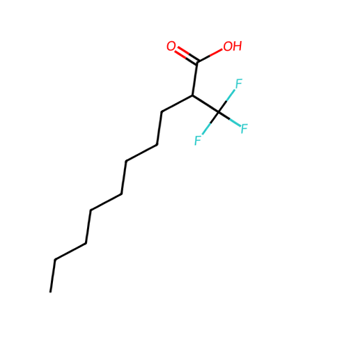 CCCCCCCCC(C(=O)O)C(F)(F)F